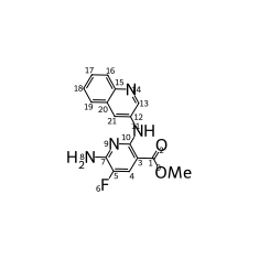 COC(=O)c1cc(F)c(N)nc1Nc1cnc2ccccc2c1